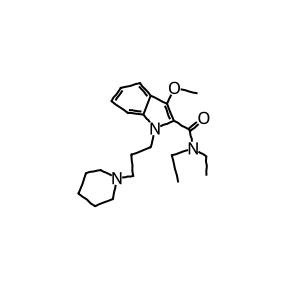 CCN(CC)C(=O)c1c(OC)c2ccccc2n1CCCN1CCCCC1